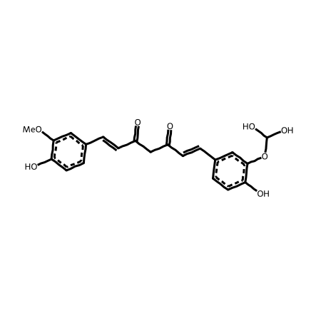 COc1cc(C=CC(=O)CC(=O)C=Cc2ccc(O)c(OC(O)O)c2)ccc1O